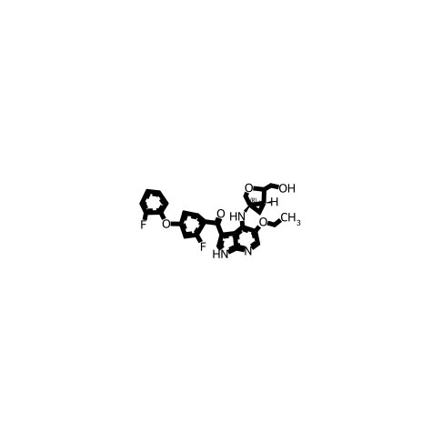 CCOc1cnc2[nH]cc(C(=O)c3ccc(Oc4ccccc4F)cc3F)c2c1N[C@@]12COC(CO)[C@H]1C2